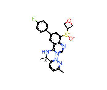 Cc1ccc([C@@H](C)Nc2ncnc3c([S+]([O-])C4COC4)cc(-c4ccc(F)cc4)cc23)nn1